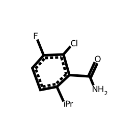 CC(C)c1ccc(F)c(Cl)c1C(N)=O